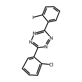 Clc1ccccc1-c1nnc(-c2ccccc2I)nn1